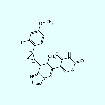 CC1C(c2c[nH]c(=O)[nH]c2=O)=Nn2ccnc2C1[C@H]1C[C@@H]1c1ccc(OC(F)(F)F)cc1F